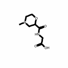 CN1CCOC(C(=O)NCC(=O)O)C1